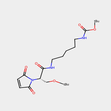 CC(C)(C)OC[C@@H](C(=O)NCCCCCNC(=O)OC(C)(C)C)N1C(=O)C=CC1=O